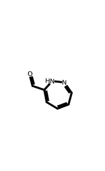 O=CC1=CC=CC=NN1